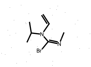 C=CN(/C(Br)=N\C)C(C)C